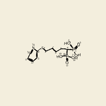 O=P(O)(O)C(CCCCSc1ccccn1)P(=O)(O)O